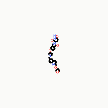 O=C1CCC(N2Cc3cc(OC4CCN(Cc5ccc6nc(COC7CCOC7)ccc6c5)C4)ccc3C2=O)C(=O)N1